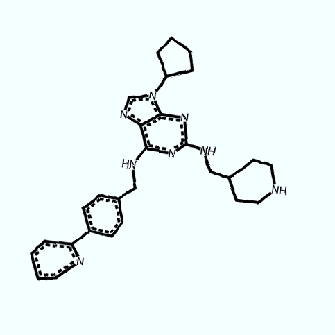 c1ccc(-c2ccc(CNc3nc(NCC4CCNCC4)nc4c3ncn4C3CCCC3)cc2)nc1